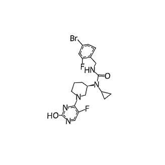 O=C(NCc1ccc(Br)cc1F)N(C1CC1)[C@@H]1CCCN(c2nc(O)ncc2F)C1